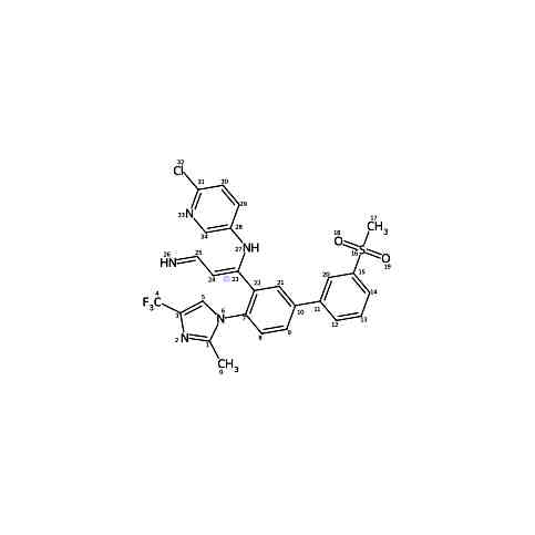 Cc1nc(C(F)(F)F)cn1-c1ccc(-c2cccc(S(C)(=O)=O)c2)cc1/C(=C/C=N)Nc1ccc(Cl)nc1